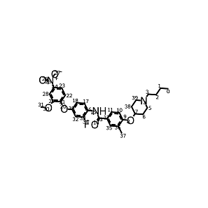 CCCCN1CCC(Oc2ccc(C(=O)Nc3ccc(Oc4ccc([N+](=O)[O-])cc4OC)cc3F)cc2C)CC1